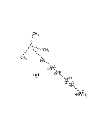 CCCCCCCC[P+](CCCCCCCC)(CCCCCCCC)CCCCCCCCCCNCCCCCN(O)C(=O)CCC(=O)NCCCCCN(O)C(=O)CCC(=O)NCCCCCN(O)C(C)=O.Cl.[Cl-]